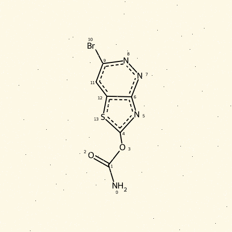 NC(=O)Oc1nc2nnc(Br)cc2s1